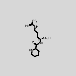 N=C(N)NCCC[C@H](NC(=O)C1CCCCN1)C(=O)O